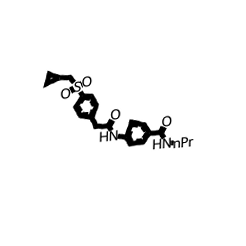 CCCNC(=O)c1ccc(NC(=O)Cc2ccc(S(=O)(=O)CC3CC3)cc2)cc1